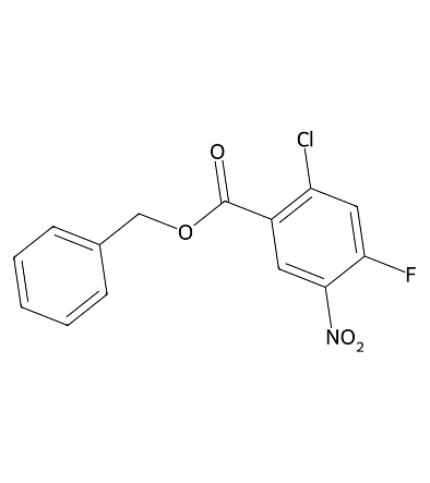 O=C(OCc1ccccc1)c1cc([N+](=O)[O-])c(F)cc1Cl